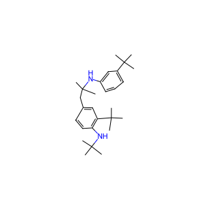 CC(C)(C)Nc1ccc(CC(C)(C)Nc2cccc(C(C)(C)C)c2)cc1C(C)(C)C